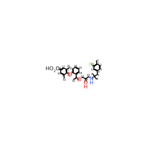 Cc1ccc(CC(C)(C)NC[C@@H](O)COC(C)c2ccccc2Oc2c(C)cc(C(=O)O)cc2C)cc1F